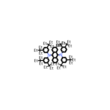 CCC(CC)(CC)c1cc(N(c2cc(C(CC)(CC)CC)cc(C(CC)(CC)CC)c2)c2c3ccccc3c(N(c3cc(C(CC)(CC)CC)cc(C(CC)(CC)CC)c3)c3ccc(C(CC)(CC)CC)c(C(CC)(CC)CC)c3)c3cc(C(C)(C)C)ccc23)cc(C(CC)(CC)CC)c1